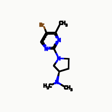 Cc1nc(N2CC[C@@H](N(C)C)C2)ncc1Br